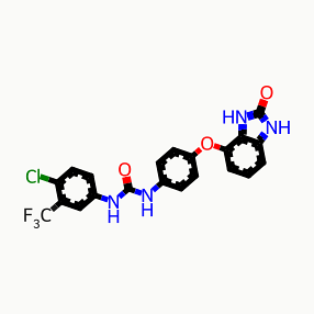 O=C(Nc1ccc(Oc2cccc3[nH]c(=O)[nH]c23)cc1)Nc1ccc(Cl)c(C(F)(F)F)c1